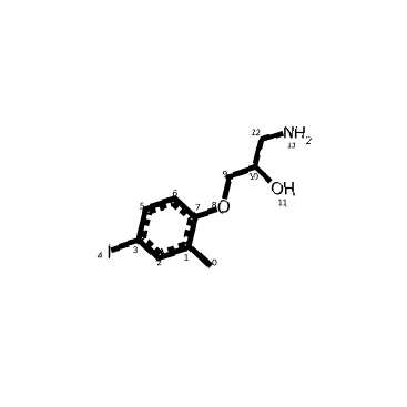 Cc1cc(I)ccc1OCC(O)CN